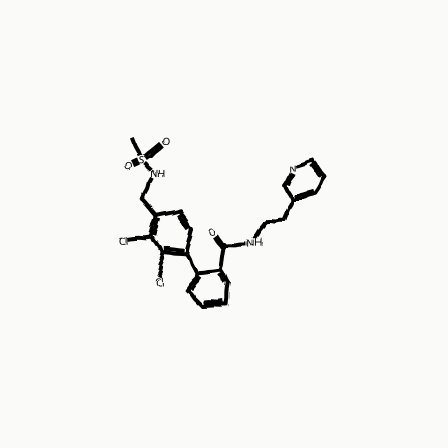 CS(=O)(=O)NCc1ccc(-c2ccccc2C(=O)NCCc2cccnc2)c(Cl)c1Cl